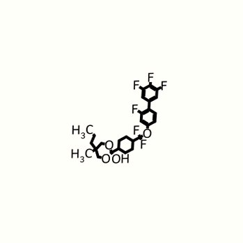 CCCC1(C)COC(O)(C2CCC(C(F)(F)Oc3ccc(-c4cc(F)c(F)c(F)c4)c(F)c3)CC2)OC1